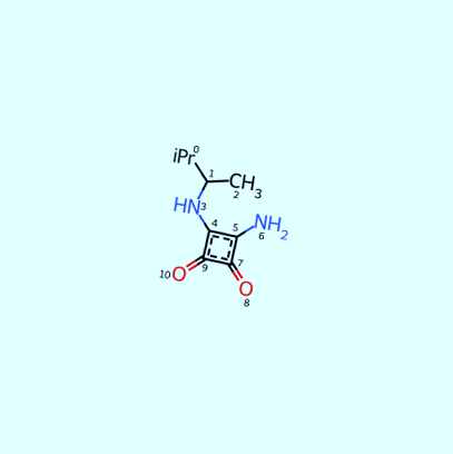 CC(C)C(C)Nc1c(N)c(=O)c1=O